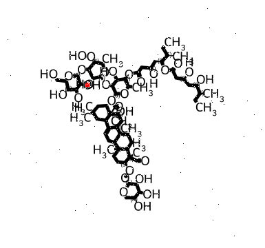 CC[C@H](C)[C@H](C[C@H](O)CC(=O)O[C@@H]1C(C)O[C@@H](OC(=O)[C@]23CCC(C)(C)CC2C2=CCC4[C@@]5(C)CC[C@H](OO[C@@H]6OC[C@@H](O)C(O)C6O)[C@@](C)(C=O)C5CC[C@@]4(C)[C@]2(C)C[C@H]3O)C(O[C@@H]2OC(C)[C@H](OO)C(O[C@@H]3OC(CO)[C@@H](O)C(O)C3O)C2O)C1O)OC(=O)C[C@@H](O)C[C@H](O)[C@@H](C)CC